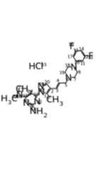 Cc1c(C=CCN2CCN(c3cc(F)cc(F)c3)CC2)cnn1-c1cc(N(C)C)nc(N)n1.Cl